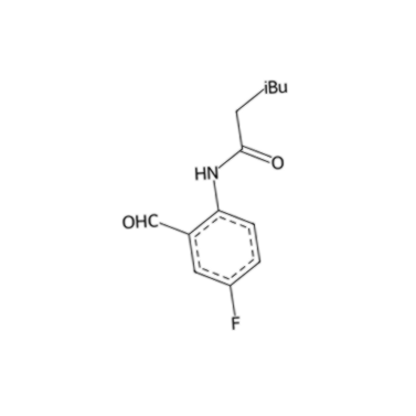 CCC(C)CC(=O)Nc1ccc(F)cc1C=O